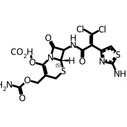 NC(=O)OCC1=C(OC(=O)O)N2C(=O)C(NC(=O)C(=C(Cl)Cl)c3csc(N)n3)[C@@H]2SC1